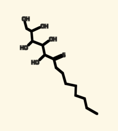 CCCCCCCCC(=S)C(O)C(O)C(O)C(O)CO